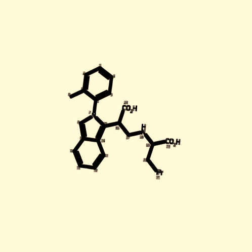 Cc1ccccc1-n1cc2ccccc2c1C(CNC(CC(C)C)C(=O)O)C(=O)O